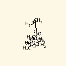 C=C(C)C(=O)O.C=C(C)C(=O)OCCCC.C=C(C)C(=O)OCCCN(C)C